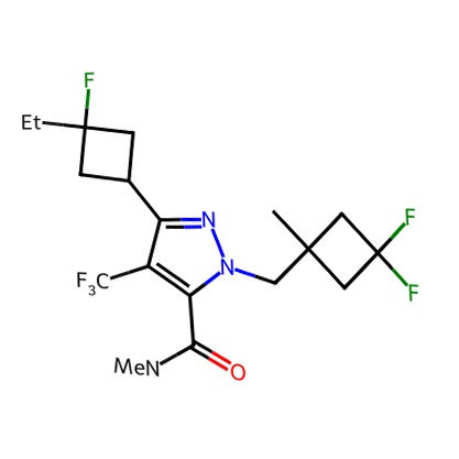 CCC1(F)CC(c2nn(CC3(C)CC(F)(F)C3)c(C(=O)NC)c2C(F)(F)F)C1